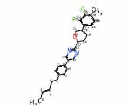 CCCCCc1ccc(-c2cnc(C3CCC(c4ccc(C)c(F)c4F)CO3)nc2)cc1